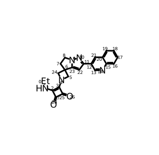 CCNc1c(N2CC3(CCn4nc(-c5cnc6ccccc6c5)cc43)C2)c(=O)c1=O